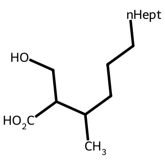 CCCCCCCCCCC(C)C(CO)C(=O)O